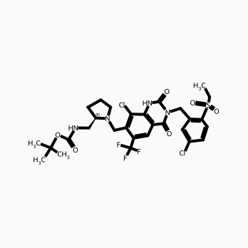 CCS(=O)(=O)c1ccc(Cl)cc1Cn1c(=O)[nH]c2c(Cl)c(CN3CCC[C@@H]3CNC(=O)OC(C)(C)C)c(C(F)(F)F)cc2c1=O